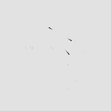 CCC(CC)[C@H](N)C(=O)N1C[C@@H]2CCC[C@@H]2[C@H]1C(=O)O.O=C(O)C(F)(F)F